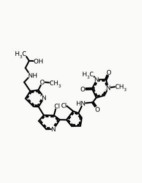 COc1nc(-c2ccnc(-c3cccc(NC(=O)c4cn(C)c(=O)n(C)c4=O)c3Cl)c2Cl)ccc1CNCC(C)O